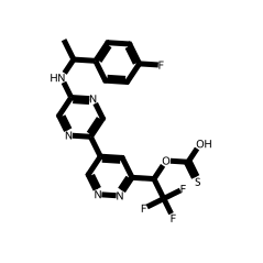 CC(Nc1cnc(-c2cnnc(C(OC(O)=S)C(F)(F)F)c2)cn1)c1ccc(F)cc1